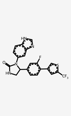 O=C1NCC(c2ccc(-c3csc(C(F)(F)F)c3)c(F)c2)N1c1ccc2[nH]cnc2c1